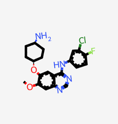 COc1cc2ncnc(Nc3ccc(F)c(Cl)c3)c2cc1O[C@H]1CC[C@H](N)CC1